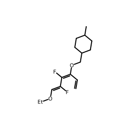 C=C/C(OCC1CCC(C)CC1)=C(F)\C(F)=C\OCC